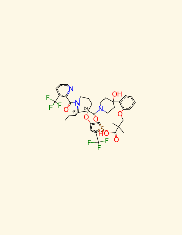 CCC[C@H]1N(C(=O)c2ncccc2C(F)(F)F)CCC[C@@]1(Oc1csc(C(F)(F)F)c1)C(=O)N1CCC(O)(c2ccccc2OCC(C)(C)C(=O)O)CC1